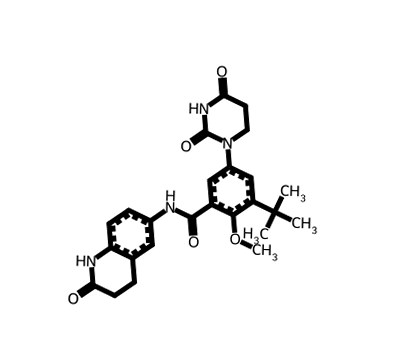 COc1c(C(=O)Nc2ccc3c(c2)CCC(=O)N3)cc(N2CCC(=O)NC2=O)cc1C(C)(C)C